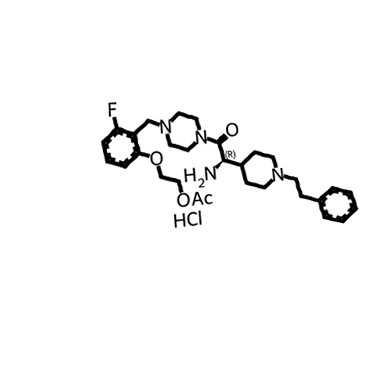 CC(=O)OCCOc1cccc(F)c1CN1CCN(C(=O)[C@H](N)C2CCN(CCc3ccccc3)CC2)CC1.Cl